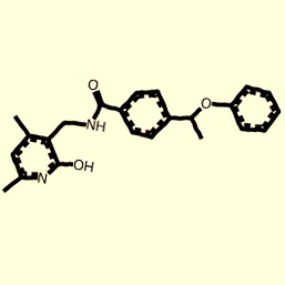 Cc1cc(C)c(CNC(=O)c2ccc(C(C)Oc3ccccc3)cc2)c(O)n1